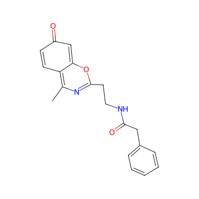 Cc1nc(CCNC(=O)Cc2ccccc2)oc2cc(=O)ccc1-2